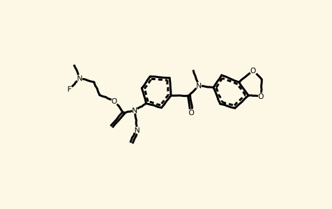 C=NN(C(=C)OCCN(C)F)c1cccc(C(=O)N(C)c2ccc3c(c2)OCO3)c1